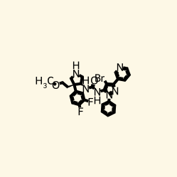 COCC[C@@]1(c2ccc(F)c(F)c2)CNC[C@H]1NC(=O)Nc1c(Br)c(-c2cccnc2)nn1-c1ccccc1